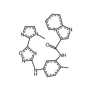 Cc1ccc(Nc2noc(-c3nccn3C)n2)cc1NC(=O)c1cnc2ccccn12